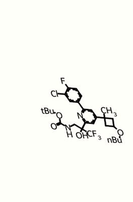 CCCCOC1CC(C)(c2cc(-c3ccc(F)c(Cl)c3)nc(C(O)(CNC(=O)OC(C)(C)C)C(F)(F)F)c2)C1